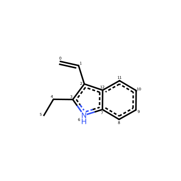 C=Cc1c(CC)[nH]c2ccccc12